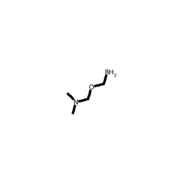 BCOCN(C)C